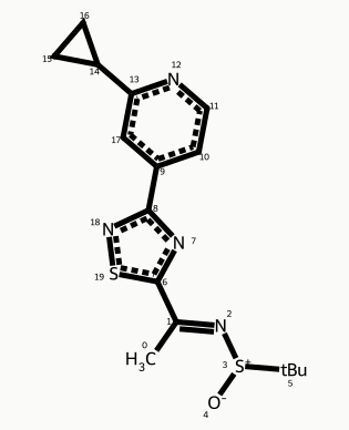 CC(=N[S+]([O-])C(C)(C)C)c1nc(-c2ccnc(C3CC3)c2)ns1